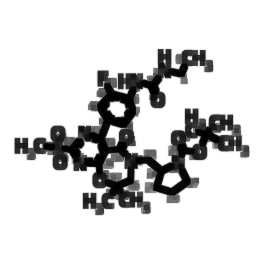 CCNC(=O)Nc1ccc(-c2nc(S(C)(=O)=O)nc3c2C(=O)N(CC2CCCN2C(=O)OC(C)(C)C)CC(C)(C)O3)cc1F